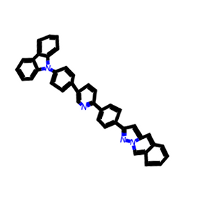 c1ccc2cn3nc(-c4ccc(-c5ccc(-c6ccc(-n7c8ccccc8c8ccccc87)cc6)cn5)cc4)cc3cc2c1